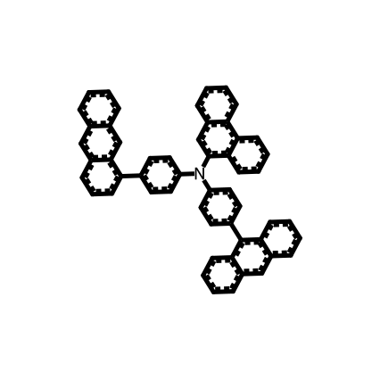 c1ccc2cc3c(-c4ccc(N(c5ccc(-c6c7ccccc7cc7ccccc67)cc5)c5cc6ccccc6c6ccccc56)cc4)cccc3cc2c1